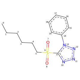 CCCCCCS(=O)(=O)c1nnnn1-c1ccccc1